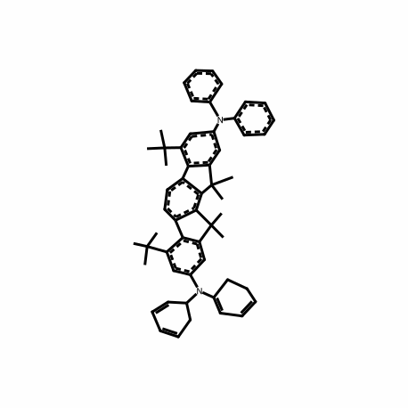 CC(C)(C)c1cc(N(c2ccccc2)c2ccccc2)cc2c1-c1ccc3c(c1C2(C)C)C(C)(C)c1cc(N(C2=CC=CCC2)C2C=CC=CC2)cc(C(C)(C)C)c1-3